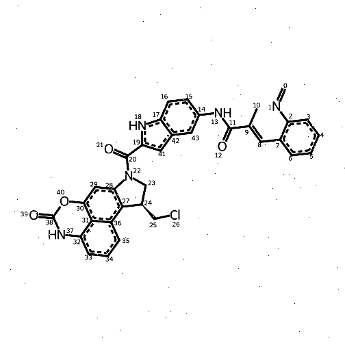 C=Nc1ccccc1/C=C(\C)C(=O)Nc1ccc2[nH]c(C(=O)N3C[C@@H](CCl)c4c3cc3c5c(cccc45)NC(=O)O3)cc2c1